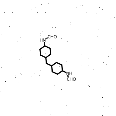 O=CNC1CCC(CC2CCC(NC=O)CC2)CC1